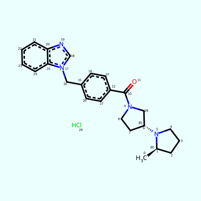 C[C@@H]1CCCN1[C@@H]1CCN(C(=O)c2ccc(Cn3cnc4ccccc43)cc2)C1.Cl